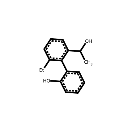 CCc1cccc(C(C)O)c1-c1ccccc1O